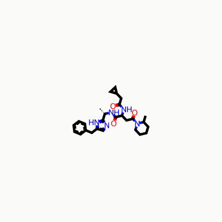 CC1CCCCN1C(=O)CC(NC(=O)CC1CC1)C(=O)N[C@@H](C)c1ncc(Cc2ccccc2)[nH]1